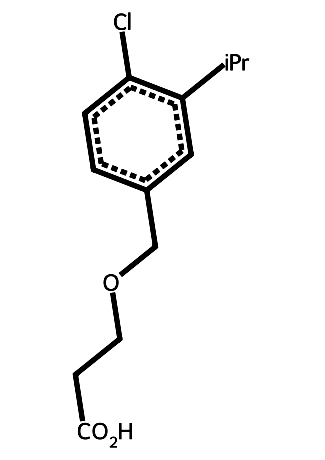 CC(C)c1cc(COCCC(=O)O)ccc1Cl